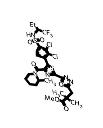 CCC(NS(=O)(=O)c1ccc(-c2sc(-c3nnc(CC(C)(C)C(=O)OC)o3)nc2C(=O)N2CCCCC2C)c(Cl)c1Cl)C(F)(F)F